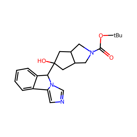 CC(C)(C)OC(=O)N1CC2CC(O)(C3c4ccccc4-c4cncn43)CC2C1